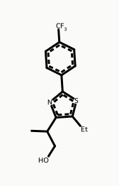 CCc1sc(-c2ccc(C(F)(F)F)cc2)nc1C(C)CO